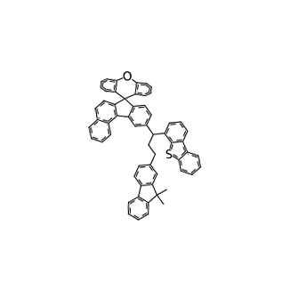 CC1(C)c2ccccc2-c2ccc(CCC(c3ccc4c(c3)-c3c(ccc5ccccc35)C43c4ccccc4Oc4ccccc43)c3cccc4c3sc3ccccc34)cc21